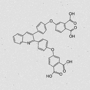 O=C(O)c1ccc(Oc2ccc(-c3cc4ccccc4nc3-c3ccc(Oc4ccc(C(=O)O)c(C(=O)O)c4)cc3)cc2)cc1C(=O)O